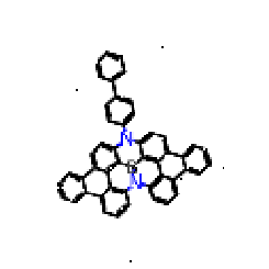 c1ccc(-c2ccc(N3c4ccc5c6ccccc6c6cccc7c6c5c4B4c5c3ccc3c6ccccc6c6cccc(c6c53)N47)cc2)cc1